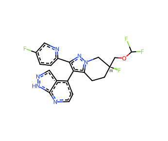 Fc1ccc(-c2nn3c(c2-c2ccnc4[nH]ncc24)CC[C@@](F)(COC(F)F)C3)nc1